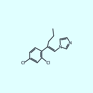 CCC/C(=C\n1ccnc1)c1ccc(Cl)cc1Cl